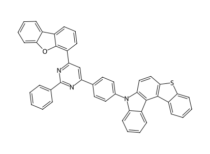 c1ccc(-c2nc(-c3ccc(-n4c5ccccc5c5c6c(ccc54)sc4ccccc46)cc3)cc(-c3cccc4c3oc3ccccc34)n2)cc1